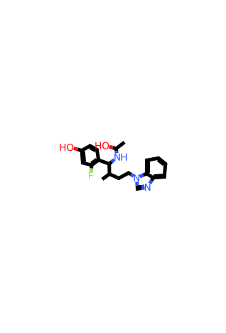 CC(O)NC(c1ccc(O)cc1F)C(C)CCn1cnc2ccccc21